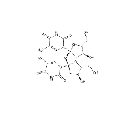 Cc1cn([C@@]2(O[C@]3(n4cc(C)c(=O)[nH]c4=O)C[C@H](O)[C@@H](CO)O3)C[C@H](O)[C@@H](CO)O2)c(=O)[nH]c1=O